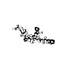 C[C@H](NC(=O)CNC(=O)[C@@H](N)Cc1ccccc1)C(=O)N[C@@H](Cc1c[nH]c2ccccc12)C(=O)N[C@H](C(=O)N1CCC[C@H]1C(=O)N[C@@H](CCCNC(=N)N)C(=O)O)[C@@H](C)O